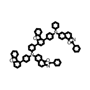 c1ccc(-c2nc3ccc4cc(N(c5ccccc5)c5ccc(-c6ccc(-c7cccc(N(c8ccc(-c9cccc%10oc%11ccccc%11c9%10)cc8)c8ccc9c(ccc%10nc(-c%11ccccc%11)oc%109)c8)c7)c7oc8ccccc8c67)cc5)ccc4c3o2)cc1